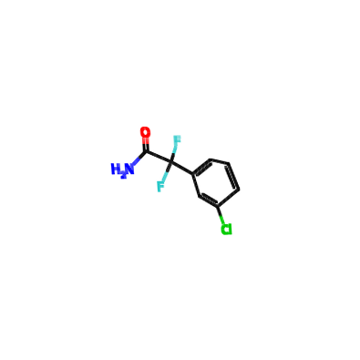 NC(=O)C(F)(F)c1cccc(Cl)c1